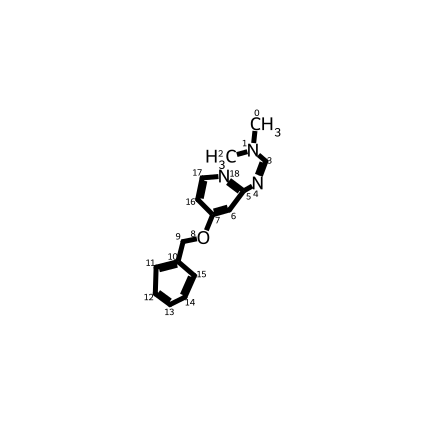 CN(C)/C=N\c1cc(OCc2ccccc2)ccn1